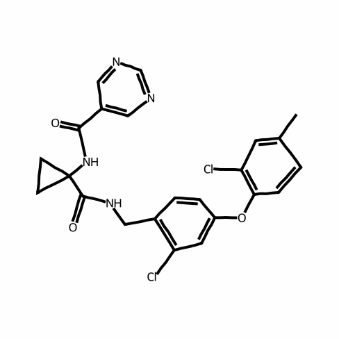 Cc1ccc(Oc2ccc(CNC(=O)C3(NC(=O)c4cncnc4)CC3)c(Cl)c2)c(Cl)c1